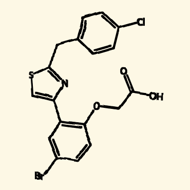 O=C(O)COc1ccc(Br)cc1-c1csc(Cc2ccc(Cl)cc2)n1